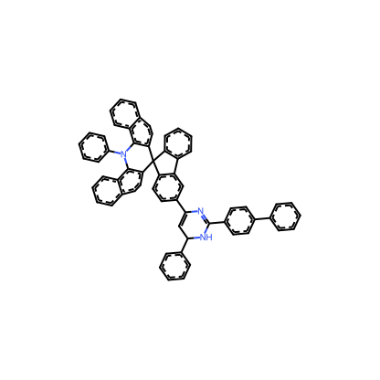 C1=C(c2ccc3c(c2)-c2ccccc2C32c3ccc4ccccc4c3N(c3ccccc3)c3c2ccc2ccccc32)N=C(c2ccc(-c3ccccc3)cc2)NC1c1ccccc1